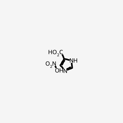 O=C(O)c1cnc[nH]1.O=[N+]([O-])O